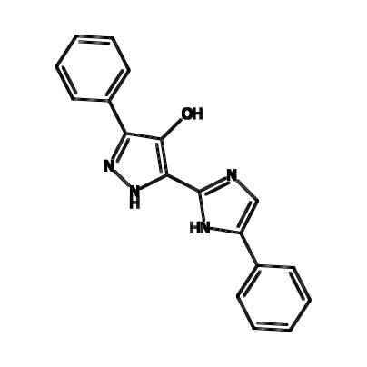 Oc1c(-c2ccccc2)n[nH]c1-c1ncc(-c2ccccc2)[nH]1